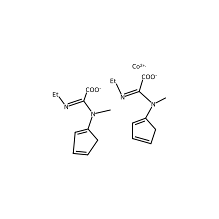 CCN=C(C(=O)[O-])N(C)C1=CC=CC1.CCN=C(C(=O)[O-])N(C)C1=CC=CC1.[Co+2]